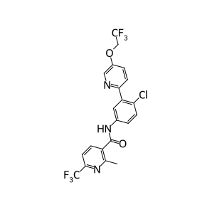 Cc1nc(C(F)(F)F)ccc1C(=O)Nc1ccc(Cl)c(-c2ccc(OCC(F)(F)F)cn2)c1